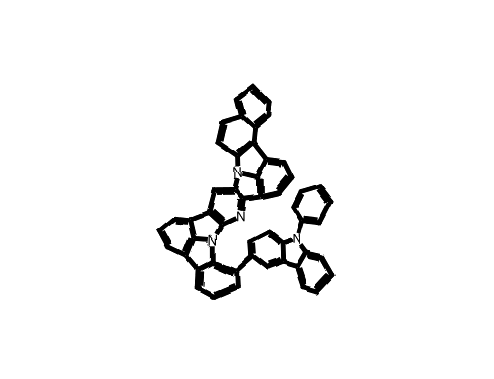 c1ccc(-n2c3ccccc3c3cc(-c4cccc5c6cccc7c8cc9c(nc8n(c45)c76)c4cccc5c6c7ccccc7ccc6n9c45)ccc32)cc1